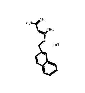 Cl.N=C(N)N=C(N)SCc1ccc2ccccc2c1